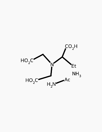 CC(N)=O.CCC(C(=O)O)N(CC(=O)O)CC(=O)O.N